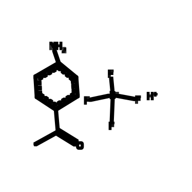 CC(=O)c1ccc(N)cc1.F[B-](F)(F)F.[H+]